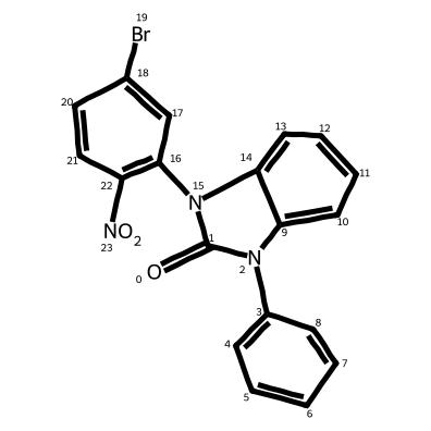 O=c1n(-c2ccccc2)c2ccccc2n1-c1cc(Br)ccc1[N+](=O)[O-]